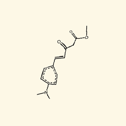 COC(=O)CC(=O)C=Cc1ccc(N(C)C)cc1